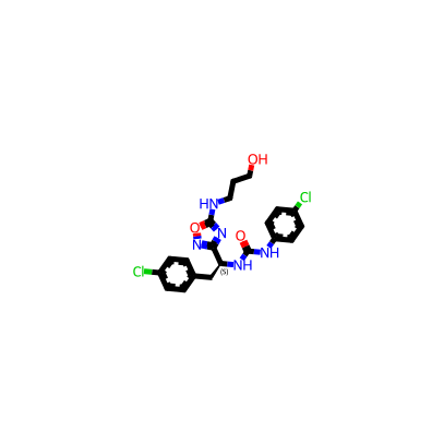 O=C(Nc1ccc(Cl)cc1)N[C@@H](Cc1ccc(Cl)cc1)c1noc(NCCCO)n1